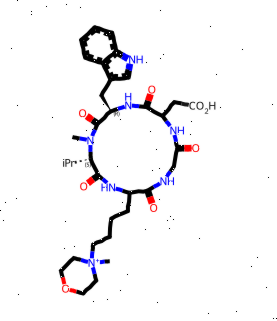 CC(C)[C@H]1C(=O)NC(CCCC[N+]2(C)CCOCC2)C(=O)NCC(=O)NC(CC(=O)O)C(=O)N[C@H](Cc2c[nH]c3ccccc23)C(=O)N1C